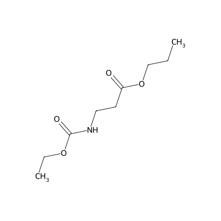 CCCOC(=O)CCNC(=O)OCC